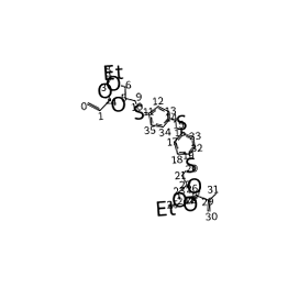 C=CC(=O)OC(COCC)CSc1ccc(Sc2ccc(SCC(COCC)OC(=O)C(=C)C)cc2)cc1